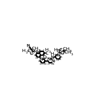 Cc1ccc2c(NC(=O)C(C)(C)C#N)cccc2c1Oc1ncccc1-c1ccnc(NC2CCCN(C(=O)OC(C)(C)C)C2)n1